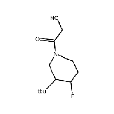 CC(C)(C)C1CN(C(=O)CC#N)CCC1F